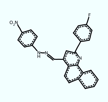 O=[N+]([O-])c1ccc(NN=Cc2cc(-c3ccc(F)cc3)nc3c2ccc2ccccc23)cc1